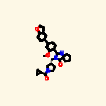 COc1cc(-c2ccc3occc3c2)ccc1C1=NC2(CCCC2)C(=O)N1C[C@@H]1CCN(C(=O)C2CC2)C1